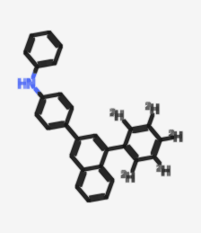 [2H]c1c([2H])c([2H])c(-c2cc(-c3ccc(Nc4ccccc4)cc3)cc3ccccc23)c([2H])c1[2H]